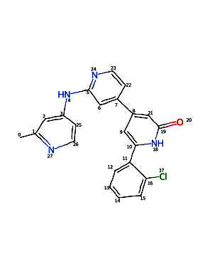 Cc1cc(Nc2cc(-c3cc(-c4ccccc4Cl)[nH]c(=O)c3)ccn2)ccn1